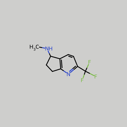 CNC1CCc2nc(C(F)(F)F)ccc21